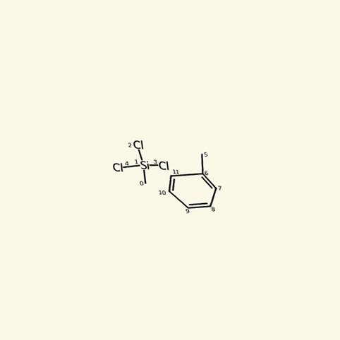 C[Si](Cl)(Cl)Cl.Cc1ccccc1